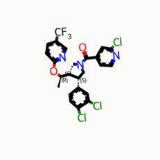 C[C@@H](Oc1ccc(C(F)(F)F)cn1)[C@@H]1CN(C(=O)c2ccnc(Cl)c2)C[C@@H]1c1ccc(Cl)c(Cl)c1